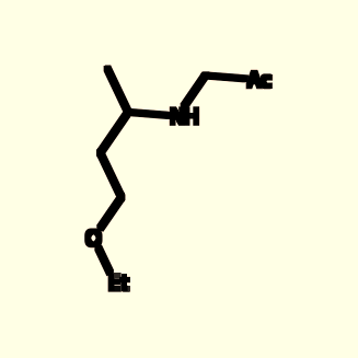 CCOCCC(C)NCC(C)=O